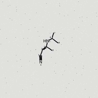 C/C(=C\C#N)NC(C)C